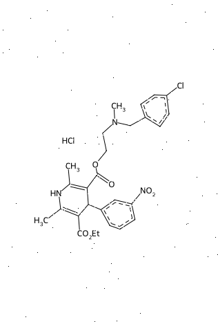 CCOC(=O)C1=C(C)NC(C)=C(C(=O)OCCN(C)Cc2ccc(Cl)cc2)C1c1cccc([N+](=O)[O-])c1.Cl